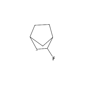 FC1[C]C2CCC1C2